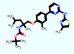 Cc1csc(Nc2nccc(-c3ccc(OCC(C)(CC(C)C)NC(=O)OC(C)(C)C)c(C)c3)n2)n1